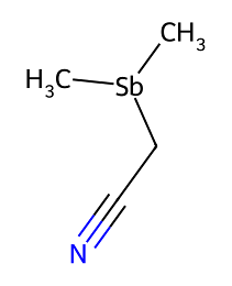 [CH3][Sb]([CH3])[CH2]C#N